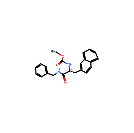 CC(C)(C)OC(=O)N[C@@H](Cc1ccc2ccccc2c1)C(=O)NCc1ccccc1